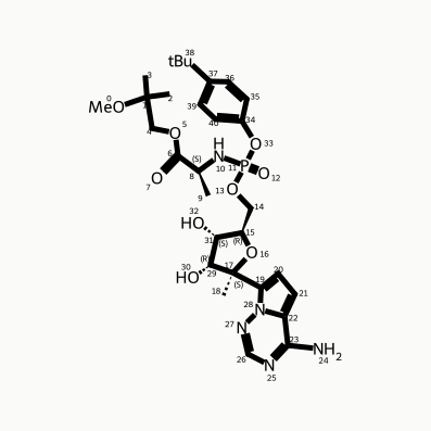 COC(C)(C)COC(=O)[C@H](C)NP(=O)(OC[C@H]1O[C@@](C)(c2ccc3c(N)ncnn23)[C@H](O)[C@@H]1O)Oc1ccc(C(C)(C)C)cc1